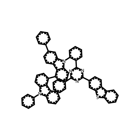 c1ccc(-c2ccc3c4c(-c5cccc6c5c5ccccc5n6-c5ccccc5)cccc4n(-c4ccccc4-c4nc(-c5ccccc5)nc(-c5ccc6c(c5)sc5ccccc56)n4)c3c2)cc1